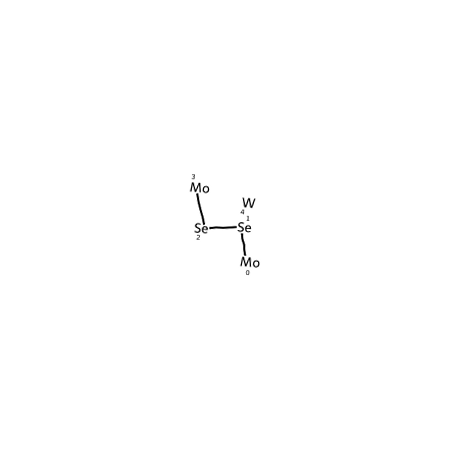 [Mo][Se][Se][Mo].[W]